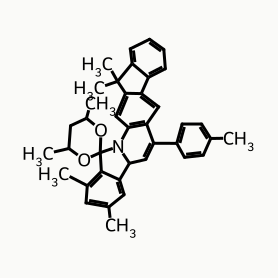 Cc1ccc(C2=CC3c4cc(C)cc(C)c4C4(OC(C)CC(C)O4)N3c3cc4c(cc32)-c2ccccc2C4(C)C)cc1